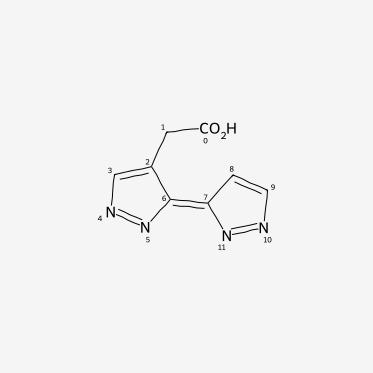 O=C(O)CC1=CN=NC1=C1C=CN=N1